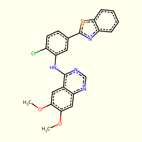 COc1cc2ncnc(Nc3cc(-c4nc5ccccc5s4)ccc3Cl)c2cc1OC